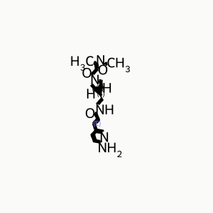 Cc1nc(C)c(C(=O)N2C[C@@H]3[C@@H](CCNC(=O)/C=C/c4ccc(N)nc4)[C@@H]3C2)o1